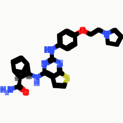 NC(=O)[C@H]1C2C=CC(C2)[C@H]1Nc1nc(Nc2ccc(OCCN3CCCC3)cc2)nc2sccc12